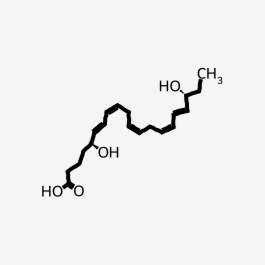 CC[C@@H](O)/C=C/C=C\C/C=C\C/C=C\C=C\[C@@H](O)CCCC(=O)O